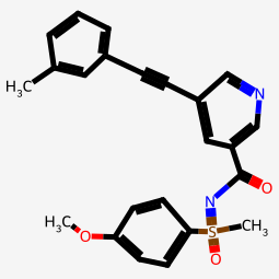 COc1ccc(S(C)(=O)=NC(=O)c2cncc(C#Cc3cccc(C)c3)c2)cc1